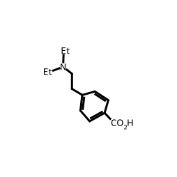 CCN(CC)CCc1ccc(C(=O)O)cc1